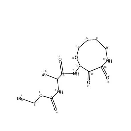 CC(C)C(NC(=O)OCC(C)(C)C)C(=O)NC1OCCCCNC(=O)C1=O